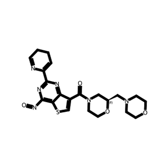 O=Nc1nc(C2=CCCC=N2)nc2c(C(=O)N3CCO[C@H](CN4CCOCC4)C3)csc12